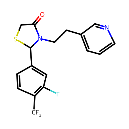 O=C1CSC(c2ccc(C(F)(F)F)c(F)c2)N1CCc1cccnc1